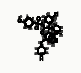 COc1ccc(S(=O)(=O)N2C(=O)C(c3cc(CN4CCNCC4)ccc3OC)(N3CCC[C@H]3c3ncco3)c3cc(Cl)ccc32)cc1